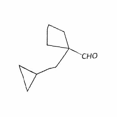 O=CC1(CC2CC2)CCC1